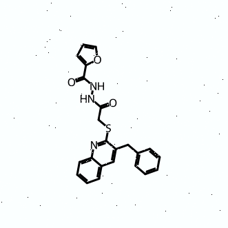 O=C(CSc1nc2ccccc2cc1Cc1ccccc1)NNC(=O)c1ccco1